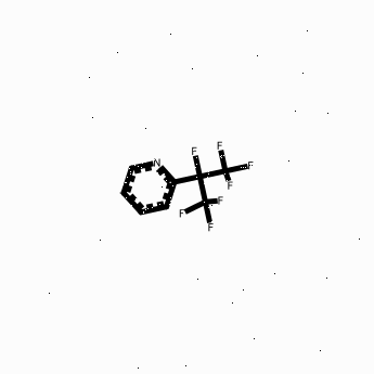 FC(F)(F)C(F)(c1cc[c]cn1)C(F)(F)F